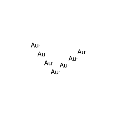 [Au].[Au].[Au].[Au].[Au].[Au].[Au]